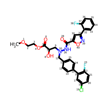 COCCOC(=O)C(O)CN(Cc1ccc(-c2cc(Cl)ccc2F)cc1)NC(=O)c1cc(-c2ccccc2F)no1